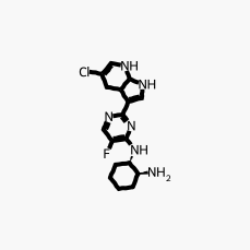 N[C@H]1CCCC[C@@H]1Nc1nc(C2=CNC3NC=C(Cl)CC23)ncc1F